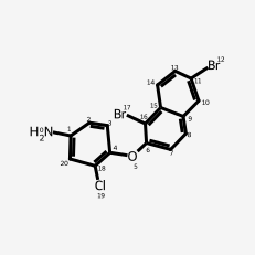 Nc1ccc(Oc2ccc3cc(Br)ccc3c2Br)c(Cl)c1